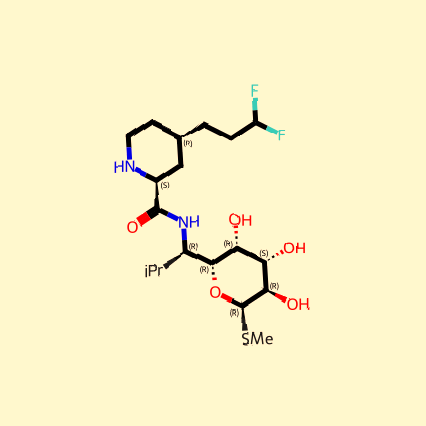 CS[C@H]1O[C@H]([C@H](NC(=O)[C@@H]2C[C@H](CCC(F)F)CCN2)C(C)C)[C@H](O)[C@H](O)[C@H]1O